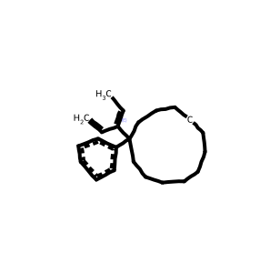 C=C/C(=C\C)C1(c2ccccc2)CCCCCCCCCCC1